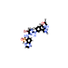 COc1cc([C@@]2(C)CNC[C@H](C)O2)c(-c2cnn(C)c2)cc1Nc1ncc(Br)c(Nc2ccc3nccnc3c2P(C)(C)=O)n1